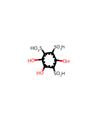 O=S(=O)(O)c1c(O)c(O)c(S(=O)(=O)O)c(S(=O)(=O)O)c1O